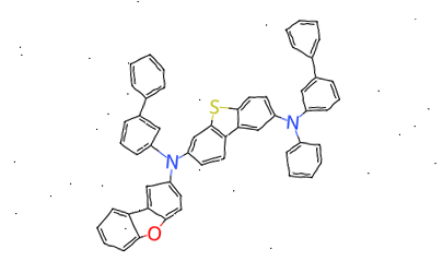 c1ccc(-c2cccc(N(c3ccc4c(c3)sc3ccc(N(c5ccccc5)c5cccc(-c6ccccc6)c5)cc34)c3ccc4oc5ccccc5c4c3)c2)cc1